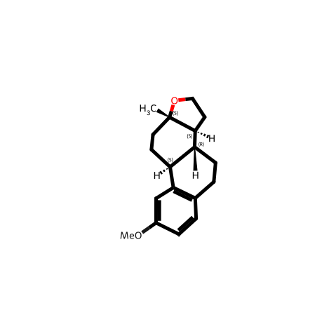 COc1[c]cc2c(c1)[C@H]1CC[C@]3(C)OCC[C@H]3[C@@H]1CC2